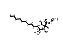 CCCCCCCCCCC(O)N(C)C(C)(CC)C(=O)OO